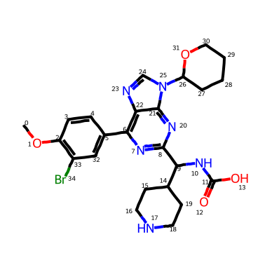 COc1ccc(-c2nc(C(NC(=O)O)C3CCNCC3)nc3c2ncn3C2CCCCO2)cc1Br